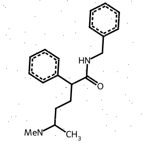 CNC(C)CCC(C(=O)NCc1ccccc1)c1ccccc1